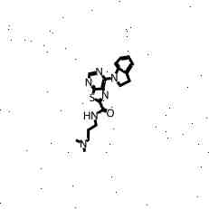 CN(C)CCCNC(=O)c1nc2c(N3CCc4ccccc43)ncnc2s1